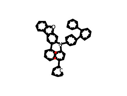 c1ccc(-c2ccc(N(c3ccc(-c4ccccc4-c4ccccc4)cc3)c3cc4oc5ccccc5c4cc3-c3ccccc3)cc2)cc1